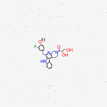 CCOc1ccc(Cc2nc3c(c4c2[nH]c2ccccc24)CCN(C(=O)C(O)CO)C3)cc1F